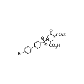 CCCCCCCCN1CC(C(=O)O)N(S(=O)(=O)c2ccc(-c3ccc(Br)cc3)cc2)CC1=O